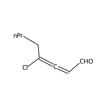 CCCCC(Cl)=C=CC=O